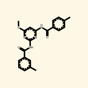 COc1cc(NC(=O)c2ccc(C)cc2)nc(NC(=O)c2cccc(C)c2)n1